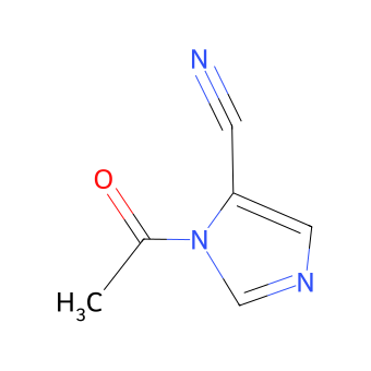 CC(=O)n1cncc1C#N